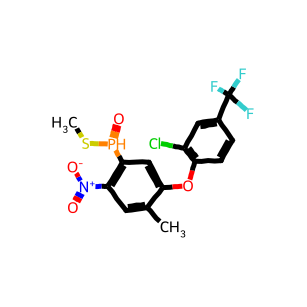 CS[PH](=O)c1cc(Oc2ccc(C(F)(F)F)cc2Cl)c(C)cc1[N+](=O)[O-]